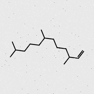 C=CC(C)CCCC(C)CCCC(C)C